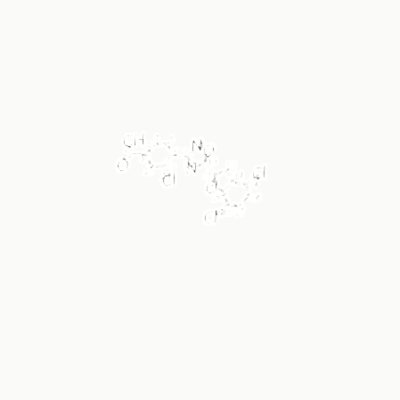 CC(=O)c1ccc(-c2noc(-c3cc4c(Cl)ccc(Cl)c4o3)n2)c(Cl)c1